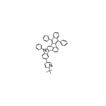 CC(C)(C)c1ccc(-c2ccc3c(c2)c2c4cccc5c4c(cc2n3-c2ccccc2)-c2c-5c(-c3ccccc3)c3ccccc3c2-c2ccccc2)cn1